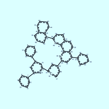 c1ccc(-c2cc(-c3ccccc3)nc(-c3cccc(-c4cc(-c5ccccc5)c5ccc6ccc(-c7cccc8ccccc78)nc6c5n4)c3)c2)cc1